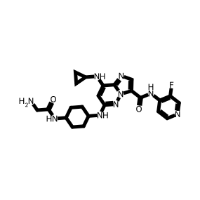 NCC(=O)NC1CCC(Nc2cc(NC3CC3)c3ncc(C(=O)Nc4ccncc4F)n3n2)CC1